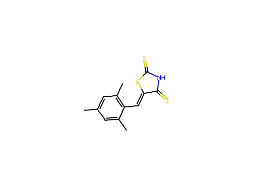 Cc1cc(C)c(C=C2SC(=S)NC2=S)c(C)c1